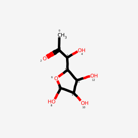 CC(=O)C(O)C1OC(O)C(O)C1O